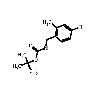 Cc1cc(Cl)ccc1CNC(=O)OC(C)(C)C